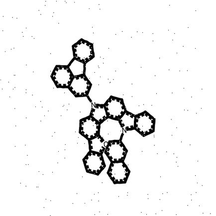 c1ccc2c(c1)-c1cccc3cc(-n4c5ccc6c7ccccc7oc6c5c5c4ccc4c6ccccc6n(-c6ccc7ccccc7c6)c45)cc-2c13